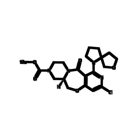 CC(C)(C)OC(=O)N1CCN2C(=O)c3c(cc(Cl)nc3N3CCCC34CCOC4)OC[C@H]2C1